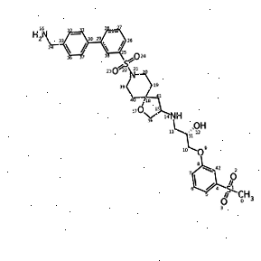 CS(=O)(=O)c1cccc(OC[C@@H](O)CNC2COC3(CCN(S(=O)(=O)c4cccc(-c5ccc(CN)cc5)c4)CC3)C2)c1